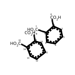 O=C(O)c1ccccc1C(=O)O.O=C(O)c1ccccc1C(=O)O